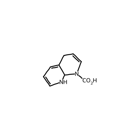 O=C(O)N1C=CCC2=CC=CNC21